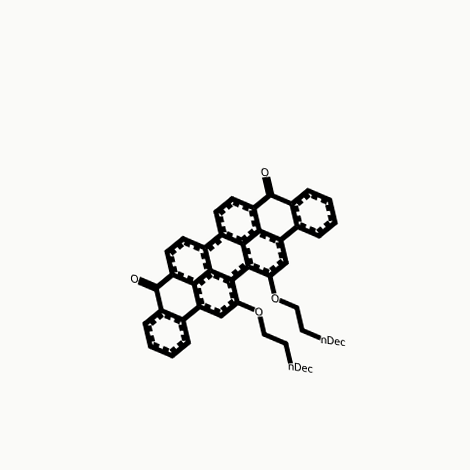 CCCCCCCCCCCCOc1cc2c3c(ccc4c5ccc6c7c(cc(OCCCCCCCCCCCC)c(c1c34)c75)-c1ccccc1C6=O)C(=O)c1ccccc1-2